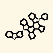 c1ccc(-n2c3ccccc3c3c4c(c5ccccc5c32)c2ccccc2c2c4c3ccccc3n2-c2ccc3sc4ccccc4c3c2)cc1